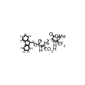 COC(=O)[C@@H](CSC[C@H](NC(=O)OCC1c2ccccc2-c2ccccc21)C(=O)O)NC(=O)C(F)(F)F